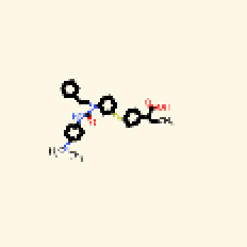 CCC(C(=O)O)c1ccc(Sc2cccc(N(CCc3ccccc3)C(=O)Nc3ccc(N(C)C)cc3)c2)cc1